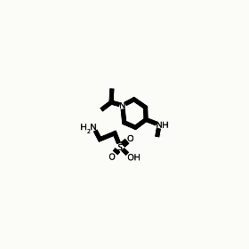 CNC1CCN(C(C)C)CC1.NCCS(=O)(=O)O